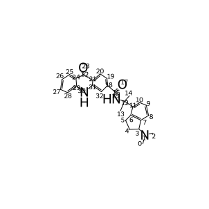 CN(C)C1CCc2c1cccc2C(C)(C)NC(=O)c1ccc2c(=O)c3ccccc3[nH]c2c1